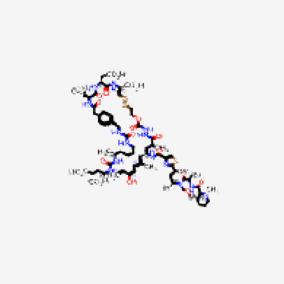 C=C/C(O)=C\C=C(/C)C[C@@H](CC(C)C(=O)NNC(=O)OCCSSC[C@H](NC(=O)[C@H](CC(=O)O)NC(=O)C(CC(=O)O)NC(=O)Cc1ccc(CNC(=O)NCCCC[C@@H](C)NC(=O)N[C@@H](CCC(=O)O)C(=O)O)cc1)C(=O)O)NC(=O)c1csc([C@@H](C[C@H](C(C)C)N(COCCCCC)C(=O)C(NC(=O)C2CCCCN2C)C(C)CC)OC(C)=O)n1